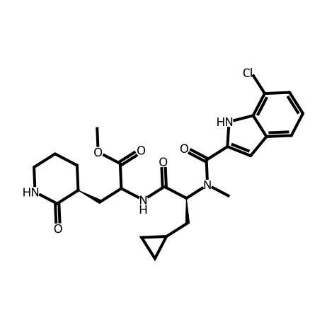 COC(=O)C(C[C@@H]1CCCNC1=O)NC(=O)[C@H](CC1CC1)N(C)C(=O)c1cc2cccc(Cl)c2[nH]1